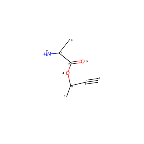 C#CC(C)OC(=O)C(C)[NH]